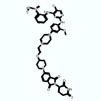 COc1cc(N2CCN(CCOC3CCN(c4ccc5c(c4)C(=O)N(C4CCC(=O)NC4=O)C5=O)CC3)CC2)ccc1Nc1ncc(Cl)c(Nc2ccccc2N(C)[SH]=O)n1